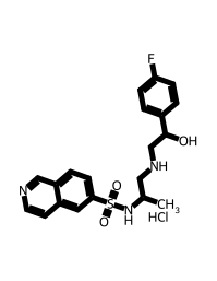 CC(CNCC(O)c1ccc(F)cc1)NS(=O)(=O)c1ccc2cnccc2c1.Cl